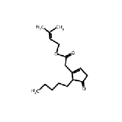 CCCCCC1C(=O)CC=C1CC(=O)OCC=C(C)C